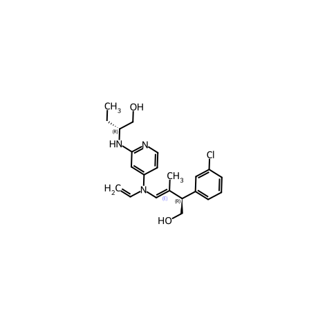 C=CN(/C=C(\C)[C@H](CO)c1cccc(Cl)c1)c1ccnc(N[C@H](CC)CO)c1